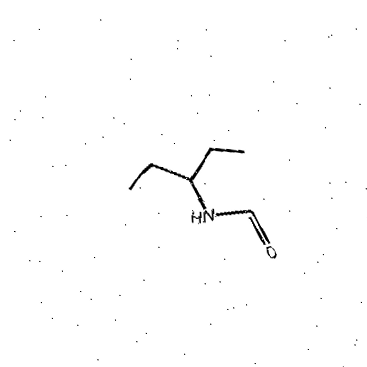 CCC(CC)NC=O